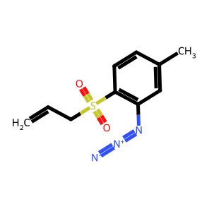 C=CCS(=O)(=O)c1ccc(C)cc1N=[N+]=[N-]